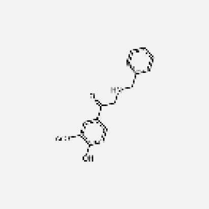 CC(=O)Oc1cc(C(=O)CNCc2ccccc2)ccc1O